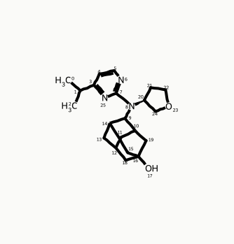 CC(C)c1ccnc(N(C2C3CC4CC2CC(O)(C4)C3)[C@H]2CCOC2)n1